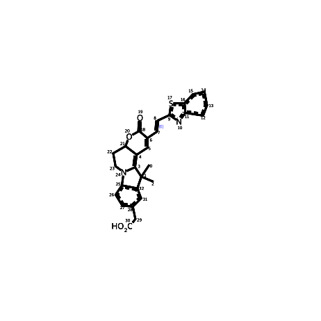 CC1(C)C2=C3C=C(/C=C/c4nc5ccccc5s4)C(=O)OC3CCN2c2ccc(CC(=O)O)cc21